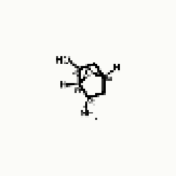 N[C@@H]1C[C@H]2C[C@H](O)[C@@H]1O2